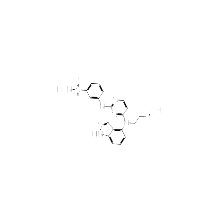 COCCN(c1ccnc(Nc2cccc(S(N)(=O)=O)c2)n1)c1cccc2[nH]ncc12